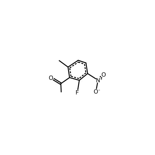 CC(=O)c1c(C)ccc([N+](=O)[O-])c1F